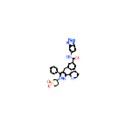 O=C(Nc1ccc2[nH]nnc2c1)c1cccc(Cc2c(-c3ccccn3)nn(C3CCS(=O)(=O)C3)c2-c2ccccc2)c1